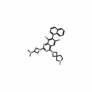 CN(C)C1CN(c2nc(N3CC4(CCNC4)C3)c3cc(Cl)c(-c4cccc5ccccc45)c(F)c3n2)C1